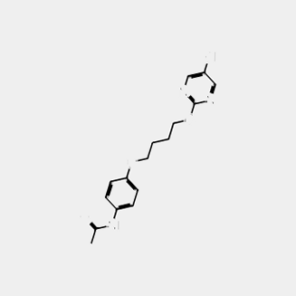 CC(=O)Nc1ccc(OCCCCOc2ncc(Cl)cn2)cc1